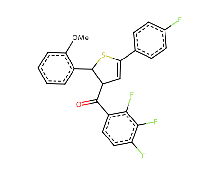 COc1ccccc1C1SC(c2ccc(F)cc2)=CC1C(=O)c1ccc(F)c(F)c1F